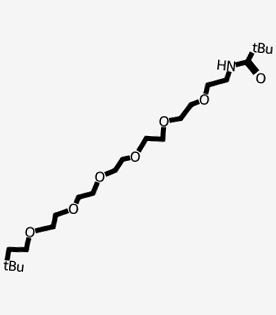 CC(C)(C)CCOCCOCCOCCOCCOCCOCCNC(=O)C(C)(C)C